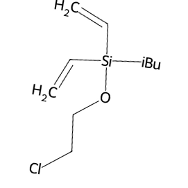 C=C[Si](C=C)(OCCCl)C(C)CC